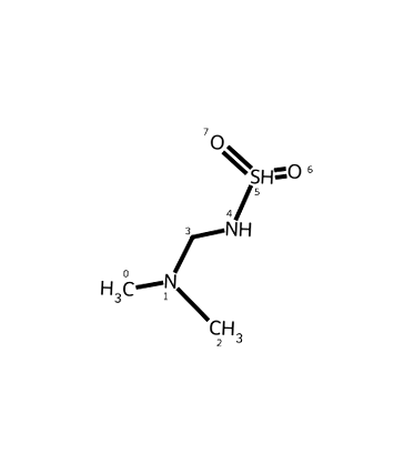 CN(C)CN[SH](=O)=O